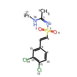 CC(=NS(=O)(=O)C=Cc1ccc(Cl)c(Cl)c1)NC(C)C